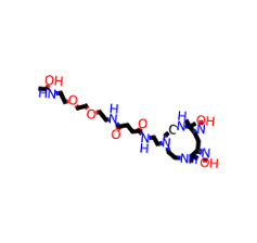 CC(O)NCCOCCOCCNC(=O)CCC(=O)NCCN1CCNC(C)(C)/C(=N\O)C/C(=N/O)C(C)(C)NCC1